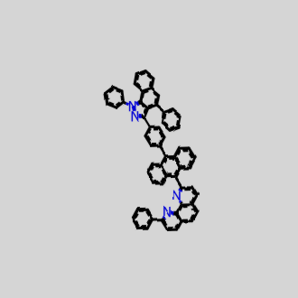 c1ccc(-c2ccc3ccc4ccc(-c5c6ccccc6c(-c6ccc(-c7nn(-c8ccccc8)c8c7c(-c7ccccc7)cc7ccccc78)cc6)c6ccccc56)nc4c3n2)cc1